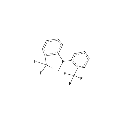 CP(c1ccccc1C(F)(F)F)c1ccccc1C(F)(F)F